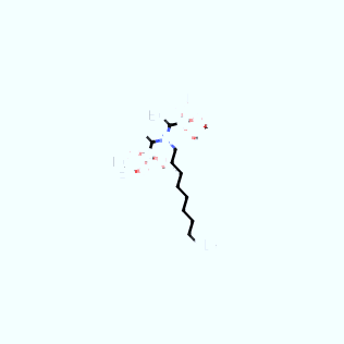 CCCCCCCCCCCCCCCCCCN(C(CC)[Si](OCC)(OCC)OCC)C(CC)[Si](OCC)(OCC)OCC